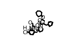 COC[C@H](N)C(=O)N[C@@]1(Cc2ccc(Cl)cc2)CCCN(C(=O)[C@@H](CC(=O)OC2CCCCCC2)Cc2ccccc2)C1